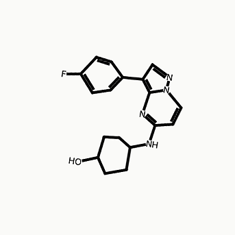 OC1CCC(Nc2ccn3ncc(-c4ccc(F)cc4)c3n2)CC1